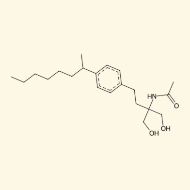 CCCCCCC(C)c1ccc(CCC(CO)(CO)NC(C)=O)cc1